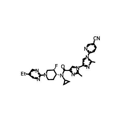 CCc1cnc(N2CC[C@@H](N(C(=O)c3cn(-c4cn(-c5ccc(C#N)cn5)c(C)n4)c(C)n3)C3CC3)[C@@H](F)C2)nc1